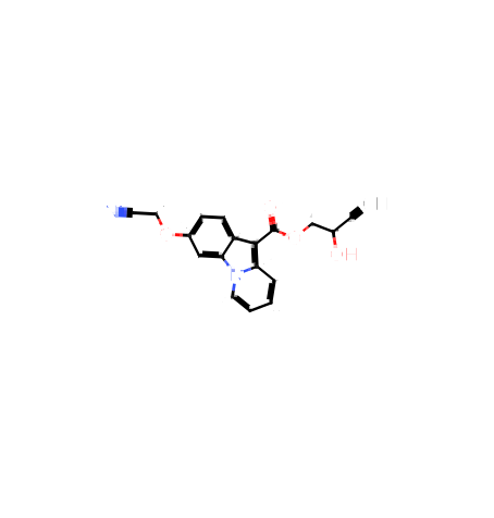 C#CC(O)COC(=O)c1c2ccc(OCC#N)cc2n2ccccc12